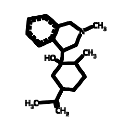 C=C(C)C1CCC(C)C(O)(C2CN(C)Cc3ccccc32)C1